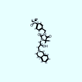 CC1(C)C(=O)N(Cc2ccc(S(C)(=O)=O)cc2)C(=O)N1CC(O)CN1CCc2ccccc2C1